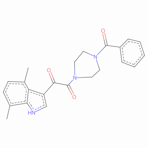 Cc1ccc(C)c2c(C(=O)C(=O)N3CCN(C(=O)c4ccccc4)CC3)c[nH]c12